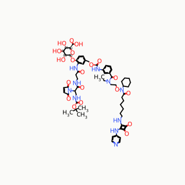 CCN(CCON(C(=O)CCCCCCNc1c(Nc2ccncc2)c(=O)c1=O)C1CCCCC1)C(=O)c1cccc(NC(=O)OCc2ccc(O[C@@H]3O[C@H](C(=O)O)[C@@H](O)[C@H](O)[C@H]3O)c(NC(=O)CCNC(=O)C(CNC(=O)OC(C)(C)C)N3C(=O)C=CC3=O)c2)c1